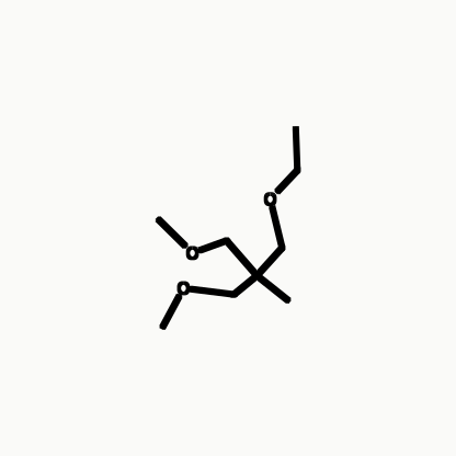 CCOCC(C)(COC)COC